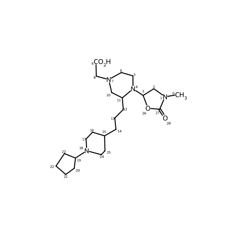 CN1CC(N2CCN(CC(=O)O)CC2CCCC2CCN(C3CCCC3)CC2)OC1=O